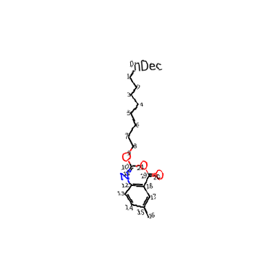 CCCCCCCCCCCCCCCCCCOc1nc2ccc(C)cc2c(=O)o1